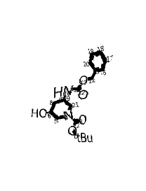 CC(C)(C)OC(=O)N1C[C@H](O)C[C@@H](NC(=O)OCc2ccccc2)C1